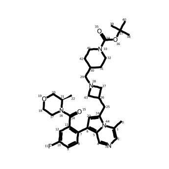 Cc1cncc2c(-c3ccc(F)cc3C(=O)N3CCOC[C@H]3C)cc(CC3CN(CC4CCN(C(=O)OC(C)(C)C)CC4)C3)n12